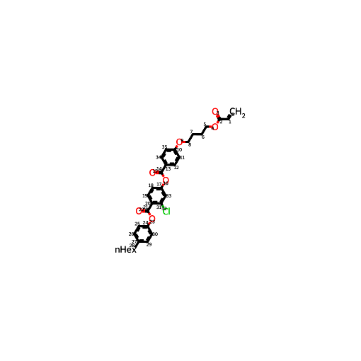 C=CC(=O)OCCCCOc1ccc(C(=O)Oc2ccc(C(=O)Oc3ccc(CCCCCC)cc3)c(Cl)c2)cc1